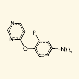 Nc1ccc(Oc2ccncn2)c(F)c1